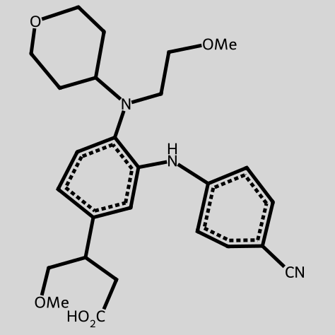 COCCN(c1ccc(C(COC)CC(=O)O)cc1Nc1ccc(C#N)cc1)C1CCOCC1